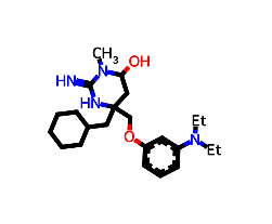 CCN(CC)c1cccc(OCC2(CC3CCCCC3)CC(O)N(C)C(=N)N2)c1